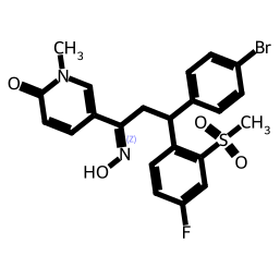 Cn1cc(/C(CC(c2ccc(Br)cc2)c2ccc(F)cc2S(C)(=O)=O)=N\O)ccc1=O